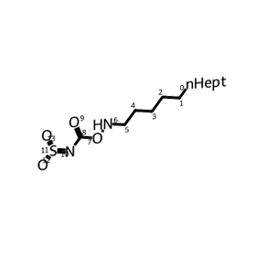 CCCCCCCCCCCCNOC(=O)N=S(=O)=O